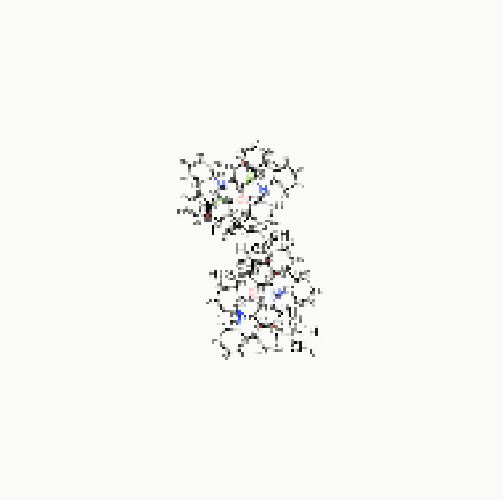 CC(C)(C)c1ccc(-c2ccccc2N2c3cccc4c3B3c5c2cccc5[Si](C)(C)c2cccc(c23)N4c2ccccc2-c2ccc(C(C)(C)CC[Si]3(C)c4cccc5c4B4c6c(cccc6N(c6ccccc6-c6ccccc6F)c6cccc3c64)N5c3ccccc3-c3ccccc3F)cc2)cc1